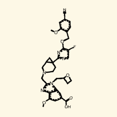 COc1cc(C#N)ccc1COc1nc(C23CCN(Cc4nc5c(OC)cc(C(=O)O)cc5n4CC4CCO4)CC2C3)ncc1F